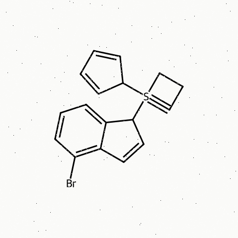 Brc1cccc2c1C=CC2S1(C2C=CC=C2)#CCC1